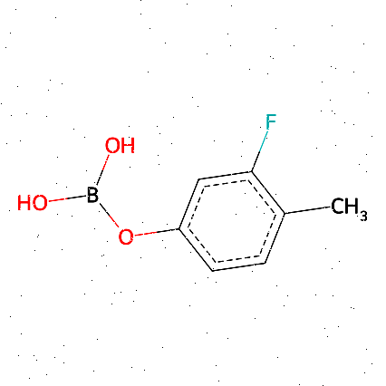 Cc1ccc(OB(O)O)cc1F